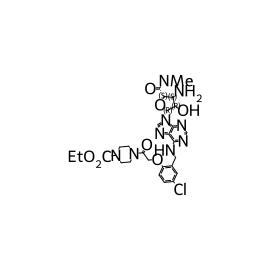 CCOC(=O)N1CCN(C(=O)COc2ccc(Cl)cc2CNc2ncnc3c2ncn3[C@@H]2O[C@H](C(=O)NC)[C@@H](N)[C@H]2O)CC1